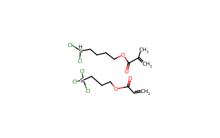 C=C(C)C(=O)OCCCC[SiH](Cl)Cl.C=CC(=O)OCCC[Si](Cl)(Cl)Cl